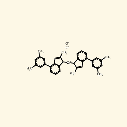 CC1=Cc2c(-c3cc(C)cc(C)c3)cccc2[CH]1[Zr+2][CH]1C(C)=Cc2c(-c3cc(C)cc(C)c3)cccc21.[Cl-].[Cl-]